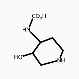 O=C(O)NC1CCNCC1O